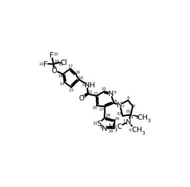 CN(C)[C@@]1(C)CCN(c2ncc(C(=O)Nc3ccc(OC(F)(F)Cl)cc3)cc2-c2ccns2)C1